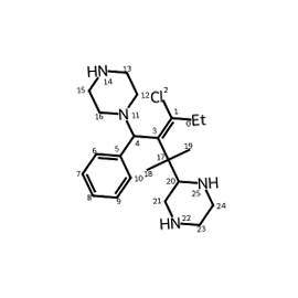 CC/C(Cl)=C(/C(c1ccccc1)N1CCNCC1)C(C)(C)C1CNCCN1